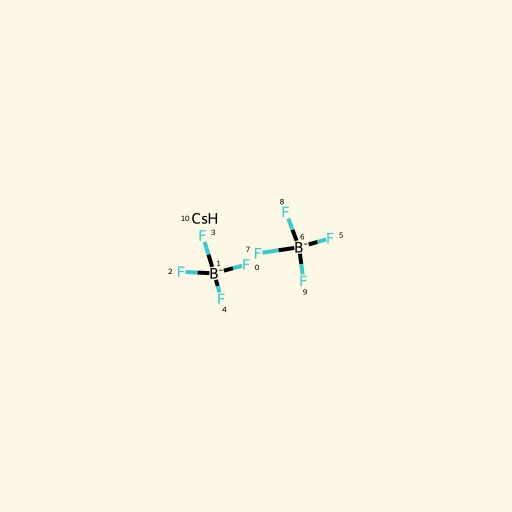 F[B-](F)(F)F.F[B-](F)(F)F.[CsH]